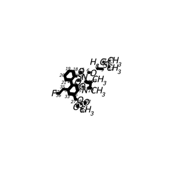 Cc1noc(N(COCC[Si](C)(C)C)S(=O)(=O)c2ccccc2-c2ccc(COS(C)(=O)=O)cc2CCF)c1C